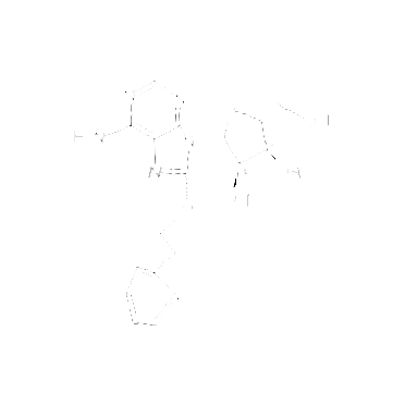 Nc1ncnc2c1nc(OCCc1ccccc1)n2[C@@H]1O[C@H](CO)[C@@H](O)[C@H]1O